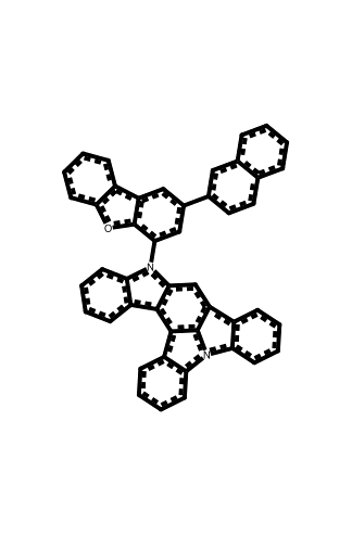 c1ccc2cc(-c3cc(-n4c5ccccc5c5c6c7ccccc7n7c8ccccc8c(cc54)c67)c4oc5ccccc5c4c3)ccc2c1